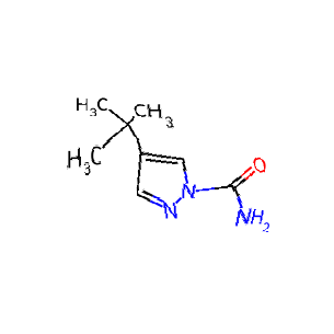 CC(C)(C)c1cnn(C(N)=O)c1